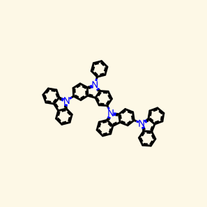 c1ccc(-n2c3ccc(-n4c5ccccc5c5ccccc54)cc3c3cc(-n4c5ccccc5c5cc(-n6c7ccccc7c7ccccc76)ccc54)ccc32)cc1